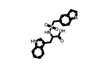 O=C(O)C(Cc1c[nH]c2ccccc12)NS(=O)(=O)Cc1ccc2sccc2c1